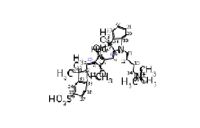 C[N+]1=C(/C=C2\C(=O)C(/C=C3/N(CCCC[N+](C)(C)C)c4ccccc4C3(C)C)=C2O)C(C)(C)c2cc(S(=O)(=O)O)ccc21